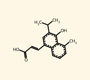 Cc1cccc2c(C=CC(=O)O)cc(C(C)C)c(O)c12